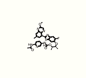 COc1cnc2c(-c3nc4cc(F)c(O[C@@H](C)[C@@H](C)OC(=O)Nc5ccc(NC(C)=O)nc5)cc4s3)cc(C)cc2n1